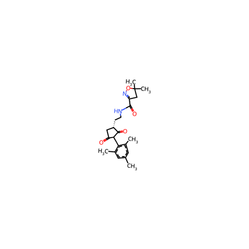 Cc1cc(C)c(C2C(=O)C[C@H](CCNC(=O)C3=NOC(C)(C)C3)C2=O)c(C)c1